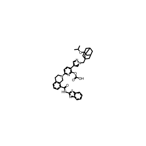 CC(C)OC12CC3CC(CC(Cn4cc(-c5ccc(N6CCc7cccc(C(=O)Nc8nc9ccccc9s8)c7C6)nc5OC(=O)O)cn4)(C3)C1)C2